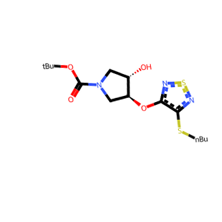 CCCCSc1nsnc1O[C@H]1CN(C(=O)OC(C)(C)C)C[C@@H]1O